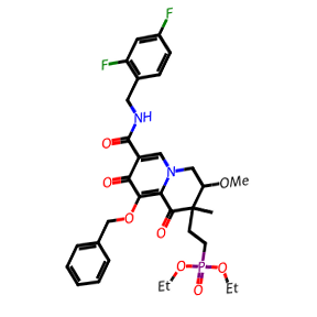 CCOP(=O)(CCC1(C)C(=O)c2c(OCc3ccccc3)c(=O)c(C(=O)NCc3ccc(F)cc3F)cn2CC1OC)OCC